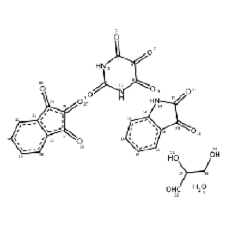 O.O=C1NC(=O)C(=O)C(=O)N1.O=C1Nc2ccccc2C1=O.O=CC(O)CO.O=c1c(=O)c2ccccc2c1=O